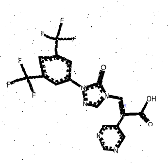 O=C(O)/C(=C/n1cnn(-c2cc(C(F)(F)F)cc(C(F)(F)F)c2)c1=O)c1cncnc1